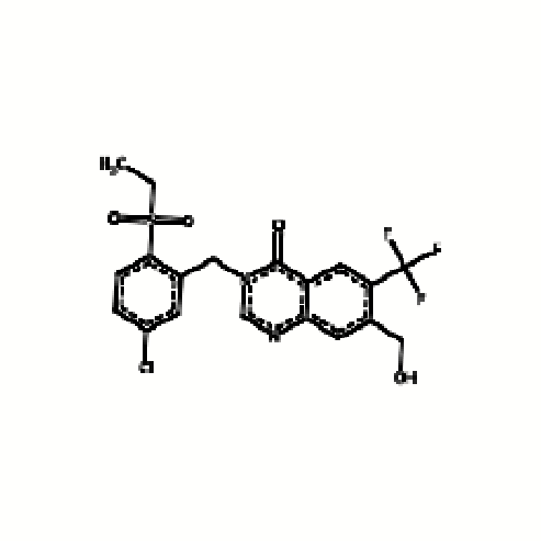 CCS(=O)(=O)c1ccc(Cl)cc1Cn1cnc2cc(CO)c(C(F)(F)F)cc2c1=O